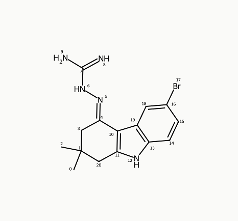 CC1(C)CC(=NNC(=N)N)c2c([nH]c3ccc(Br)cc23)C1